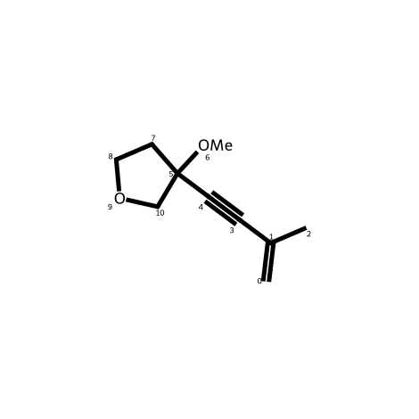 C=C(C)C#CC1(OC)CCOC1